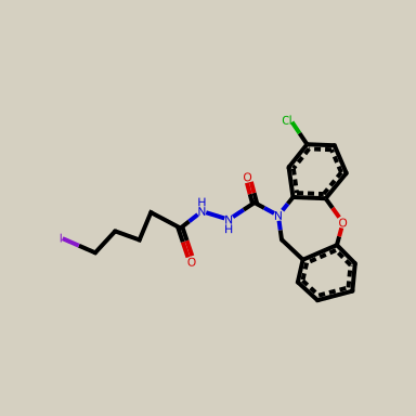 O=C(CCCCI)NNC(=O)N1Cc2ccccc2Oc2ccc(Cl)cc21